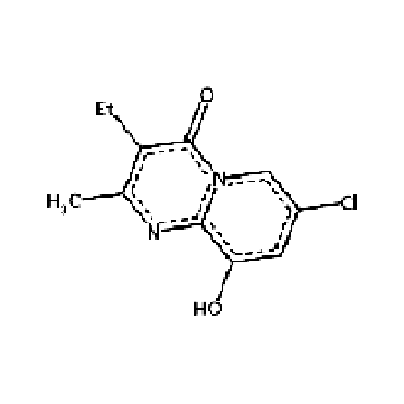 CCc1c(C)nc2c(O)cc(Cl)cn2c1=O